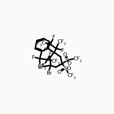 O=S(=O)(C(F)(F)F)C1(S(=O)(=O)C(F)(F)F)[CH]C(Br)(Br)CC(c2ccccc2C(F)(C(F)(F)F)C(F)(F)C(F)(F)F)(C(F)(C(F)(F)F)C(F)(F)C(F)(F)F)C1